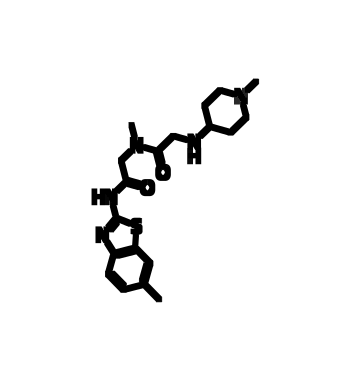 Cc1ccc2nc(NC(=O)CN(C)C(=O)CNC3CCN(C)CC3)sc2c1